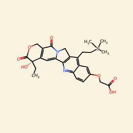 CC[C@@]1(O)C(=O)OCc2c1cc1n(c2=O)Cc2c-1nc1ccc(OCC(=O)O)cc1c2CC[Si](C)(C)C